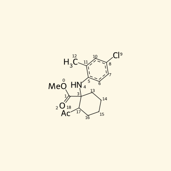 COC(=O)C1(Nc2ccc(Cl)cc2C)CCCCC1C(C)=O